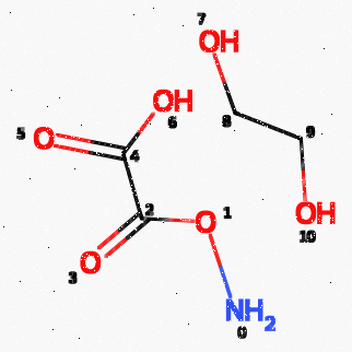 NOC(=O)C(=O)O.OCCO